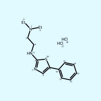 CCN(CC)CCNc1ncc(-c2ccccc2)s1.Cl.Cl